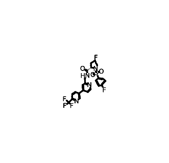 O=C(NCc1cc(-c2ccc(C(F)(F)F)nc2)ccn1)[C@@H]1C[C@@H](F)CN1S(=O)(=O)c1ccc(F)cc1